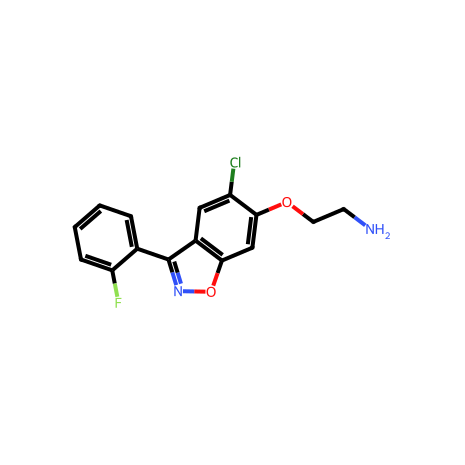 NCCOc1cc2onc(-c3ccccc3F)c2cc1Cl